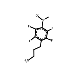 C[S+]([O-])c1c(F)c(F)c(CCCN)c(F)c1F